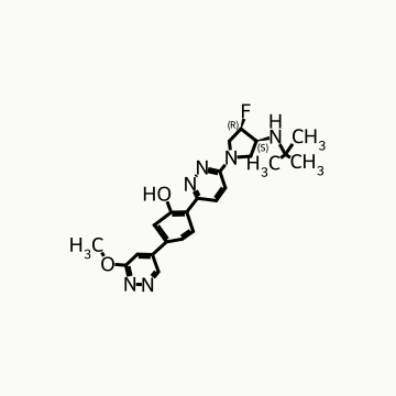 COc1cc(-c2ccc(-c3ccc(N4C[C@@H](F)[C@@H](NC(C)(C)C)C4)nn3)c(O)c2)cnn1